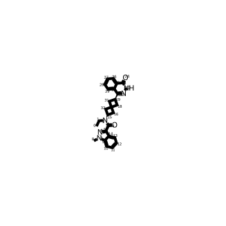 CCN(C(=O)c1nn(C)c2ccccc12)[C@H]1CC2(C[C@H](c3n[nH]c(=O)c4ccccc43)C2)C1